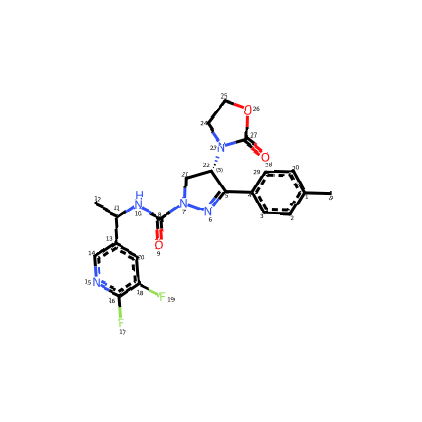 Cc1ccc(C2=NN(C(=O)NC(C)c3cnc(F)c(F)c3)C[C@@H]2N2CCOC2=O)cc1